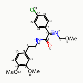 COC/N=C(\C(=O)NCCc1ccc(OC)c(OC)c1)c1ccc(Cl)cc1